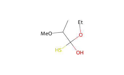 CCOC(O)(S)C(C)OC